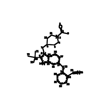 CC(=O)N1CCC(Cn2c(C(C)(C)C)nc3cc(Sc4ccccc4C#N)ccc32)CC1